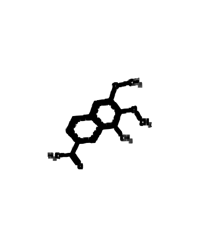 COc1cc2ccc(C(C)=O)cc2c(C)c1OC